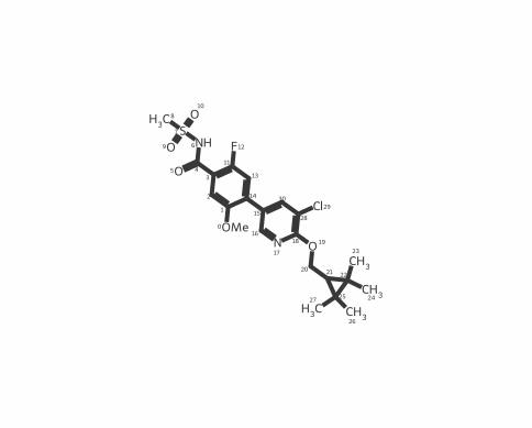 COc1cc(C(=O)NS(C)(=O)=O)c(F)cc1-c1cnc(OCC2C(C)(C)C2(C)C)c(Cl)c1